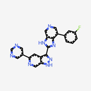 Fc1cccc(-c2cncc3[nH]c(-c4n[nH]c5cnc(-c6cncnc6)cc45)nc23)c1